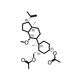 C=C(C)[C@H]1CCC2[C@H](OC)C([C@@]3(C)CC[C@H](OC(C)=O)C[C@@H]3COC(C)=O)CC[C@@]21C